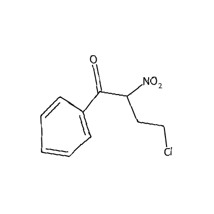 O=C(c1ccccc1)C(CCCl)[N+](=O)[O-]